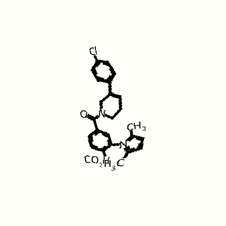 Cc1ccc(C)n1-c1cc(C(=O)N2CCCC(c3ccc(Cl)cc3)C2)ccc1C(=O)O